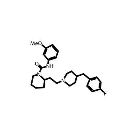 COc1cccc(NC(=O)N2CCCCC2CCN2CCC(Cc3ccc(F)cc3)CC2)c1